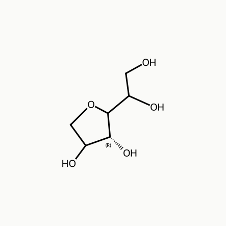 OCC(O)C1OCC(O)[C@H]1O